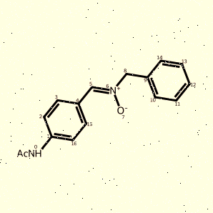 CC(=O)Nc1ccc(C=[N+]([O-])Cc2ccccc2)cc1